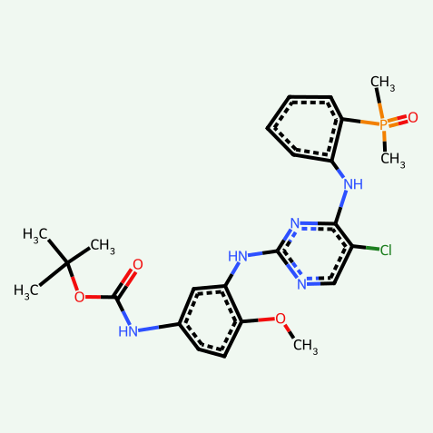 COc1ccc(NC(=O)OC(C)(C)C)cc1Nc1ncc(Cl)c(Nc2ccccc2P(C)(C)=O)n1